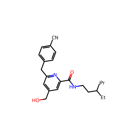 CCC(CCNC(=O)c1cc(CO)cc(Cc2ccc(C#N)cc2)n1)C(C)C